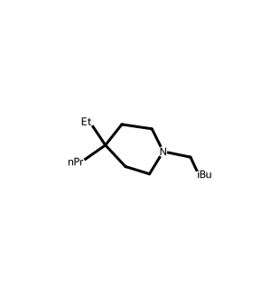 CCCC1(CC)CCN(CC(C)CC)CC1